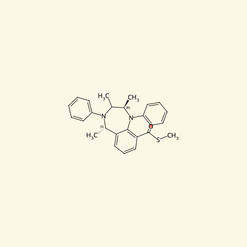 CSC(=O)c1cccc2c1N(c1ccccc1)[C@H](C)C(C)N(c1ccccc1)[C@H]2C